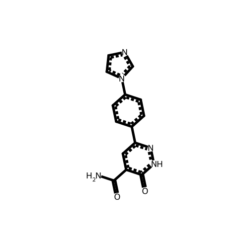 NC(=O)c1cc(-c2ccc(-n3ccnc3)cc2)n[nH]c1=O